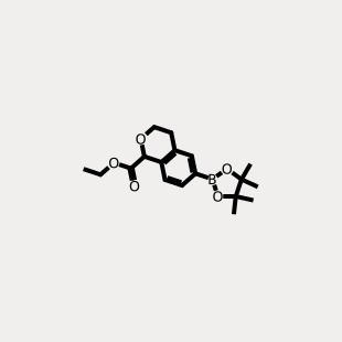 CCOC(=O)C1OCCc2cc(B3OC(C)(C)C(C)(C)O3)ccc21